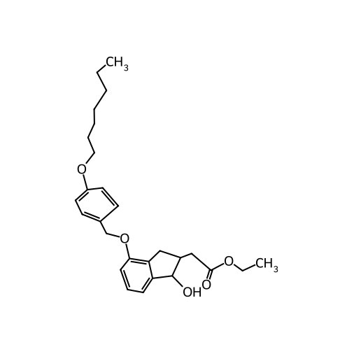 CCCCCCCOc1ccc(COc2cccc3c2CC(CC(=O)OCC)C3O)cc1